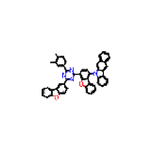 Cc1ccc(-c2nc(-c3ccc4oc5ccccc5c4c3)nc(-c3ccc(-n4c5ccccc5c5cc6ccccc6cc54)c4c3oc3ccccc34)n2)cc1C